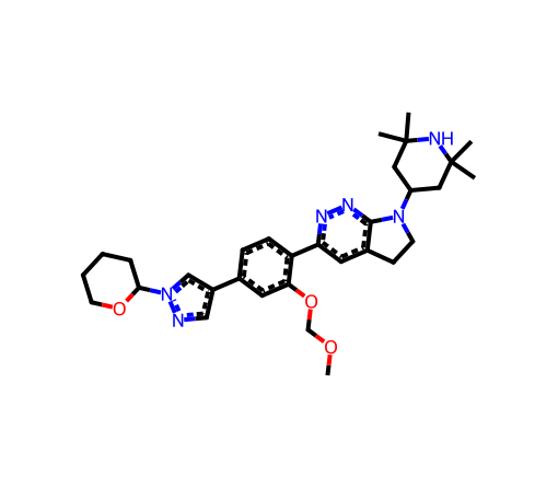 COCOc1cc(-c2cnn(C3CCCCO3)c2)ccc1-c1cc2c(nn1)N(C1CC(C)(C)NC(C)(C)C1)CC2